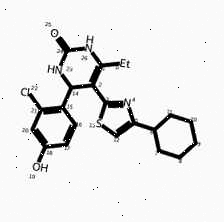 CCC1=C(c2nc(C3CCCCC3)cs2)C(c2ccc(O)cc2Cl)NC(=O)N1